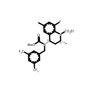 CCOC(=O)N1c2c(F)cc(C)cc2[C@@H](N(Cc2cc(C(F)(F)F)cc(C(F)(F)F)c2)C(=O)OC)C[C@H]1C